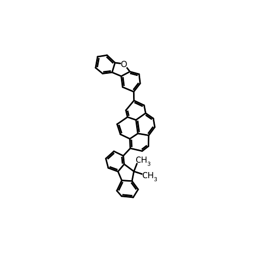 CC1(C)c2ccccc2-c2cccc(-c3ccc4ccc5cc(-c6ccc7oc8ccccc8c7c6)cc6ccc3c4c56)c21